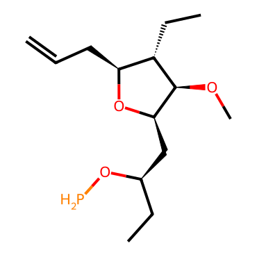 C=CC[C@@H]1O[C@H](C[C@@H](CC)OP)[C@H](OC)[C@H]1CC